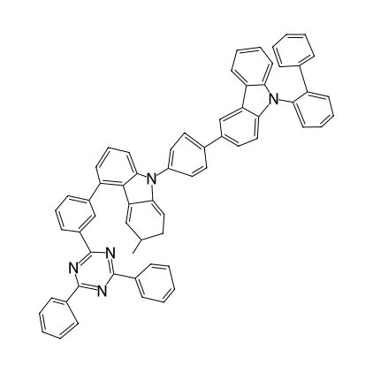 CC1C=c2c(n(-c3ccc(-c4ccc5c(c4)c4ccccc4n5-c4ccccc4-c4ccccc4)cc3)c3cccc(-c4cccc(-c5nc(-c6ccccc6)nc(-c6ccccc6)n5)c4)c23)=CC1